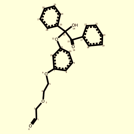 O=CCOCCOc1cccc(OC(O)(C(=O)c2ccccc2)c2ccccc2)c1